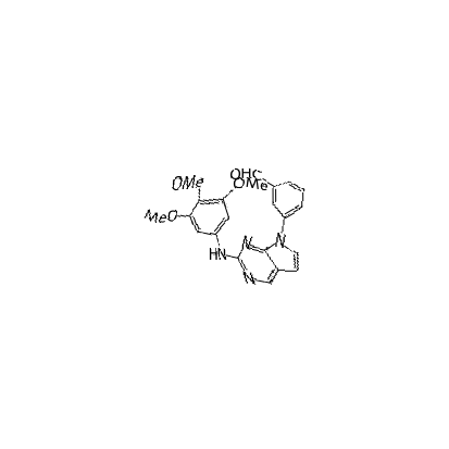 COc1cc(Nc2ncc3ccn(-c4cccc(C=O)c4)c3n2)cc(OC)c1OC